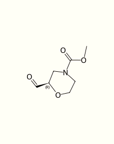 COC(=O)N1CCO[C@@H](C=O)C1